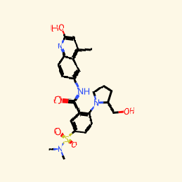 Cc1cc(O)nc2ccc(NC(=O)c3cc(S(=O)(=O)N(C)C)ccc3N3CCCC3CO)cc12